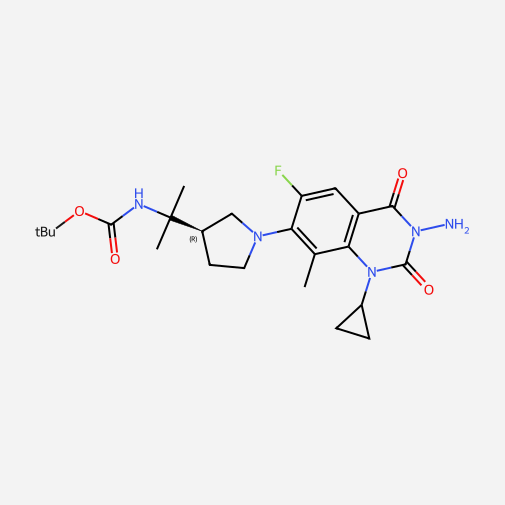 Cc1c(N2CC[C@@H](C(C)(C)NC(=O)OC(C)(C)C)C2)c(F)cc2c(=O)n(N)c(=O)n(C3CC3)c12